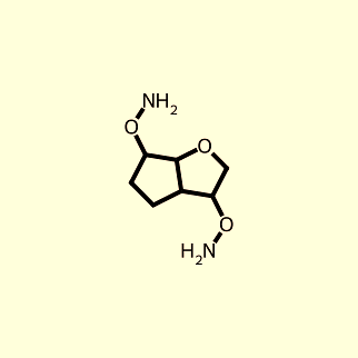 NOC1COC2C(ON)CCC12